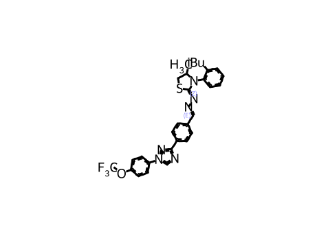 CCC(C)c1ccccc1N1/C(=N/N=C/c2ccc(-c3ncn(-c4ccc(OC(F)(F)F)cc4)n3)cc2)SCC1C